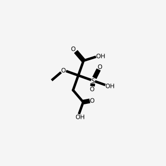 COC(CC(=O)O)(C(=O)O)S(=O)(=O)O